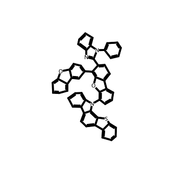 c1ccc(-n2c(-c3ccc4c(oc5c(-n6c7ccccc7c7ccc8c9ccccc9sc8c76)cccc54)c3-c3ccc4oc5ccccc5c4c3)nc3ccccc32)cc1